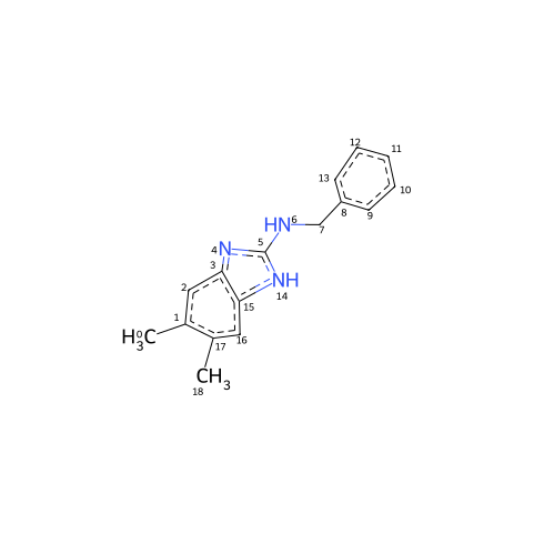 Cc1cc2nc(NCc3ccccc3)[nH]c2cc1C